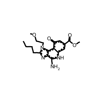 CCCCc1nc2c(N)[nH]c3cc(C(=O)OC)cc(=O)c-3c2n1CCOC